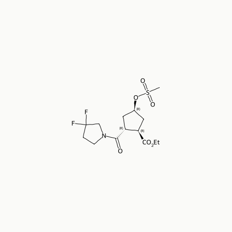 CCOC(=O)[C@@H]1C[C@H](OS(C)(=O)=O)C[C@H]1C(=O)N1CCC(F)(F)C1